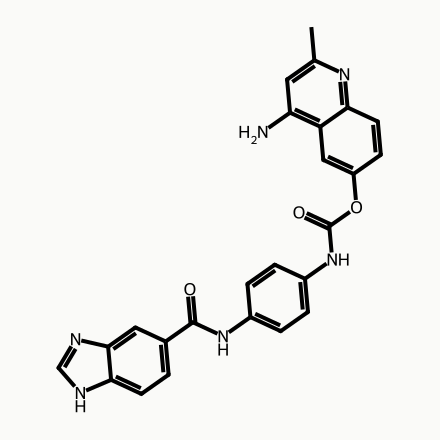 Cc1cc(N)c2cc(OC(=O)Nc3ccc(NC(=O)c4ccc5[nH]cnc5c4)cc3)ccc2n1